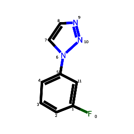 Fc1[c]ccc(-n2ccnn2)c1